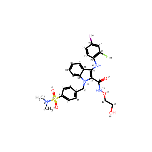 CN(C)S(=O)(=O)c1ccc(Cn2c(C(=O)NOCCO)c(Nc3ccc(I)cc3F)c3ccccc32)cc1